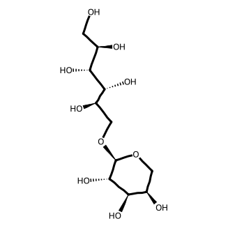 OC[C@@H](O)[C@@H](O)[C@H](O)[C@H](O)CO[C@H]1OC[C@@H](O)[C@@H](O)[C@@H]1O